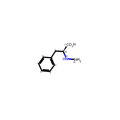 O=C(O)[C@H](Cc1ccccc1)[NH][InH2]